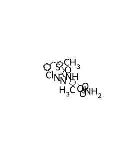 Cc1cc(Cc2cccc(Cl)c2)sc1C(=O)c1cncnc1N[C@@H]1C[C@H](COS(N)(=O)=O)[C@@H](C)C1